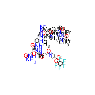 CC[C@H](C)C([C@@H](CC(=O)N1CCC[C@H]1[C@H](OC)[C@@H](C)C(=O)N[C@H](CN=[N+]=[N-])Cc1ccc(NC(=O)[C@H](CCCNC(N)=O)NC(=O)[C@@H](NC(=O)CCC(=O)N2CCC(C(=O)Oc3c(F)c(F)c(F)c(F)c3F)CC2)C(C)C)cc1)OC)N(C)C(=O)[C@@H](NC(=O)[C@H](C(C)C)N(C)C)C(C)C